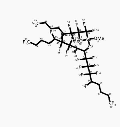 CO[Si](OC)(OC(C(F)(F)C(F)(F)C(F)(F)C(F)CCCC(F)(F)F)C(F)(F)C(F)(F)C(F)(F)C(F)CCCC(F)(F)F)C(F)(F)C(F)(F)C(F)(F)C(F)CCCC(F)(F)F